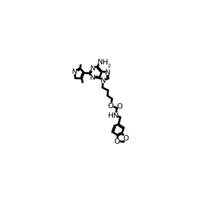 CC1=NCC(C)=C1c1nc(N)c2ncn(CCCCOC(=O)NCc3ccc4c(c3)OCO4)c2n1